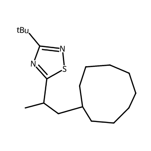 CC(CC1CCCCCCCC1)c1nc(C(C)(C)C)ns1